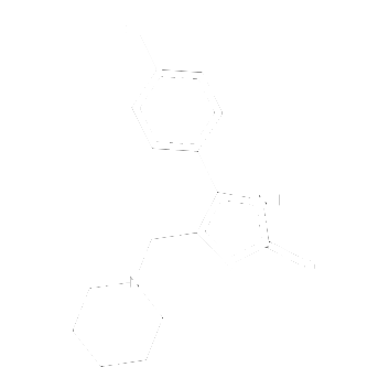 O=c1[nH]c(-c2ccc(Cl)cc2)c(CN2CCCCC2)s1